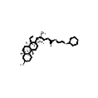 C[C@H](CCC(=O)OCCOC1CCCCC1)[C@H]1CC[C@H]2[C@@H]3CC[C@@H]4C[C@H](O)CC[C@]4(C)[C@H]3CC[C@]12C